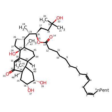 CCCCC/C=C\C/C=C\CCCCCCCC(=O)O[C@H](CCC(C)(C)O)[C@@H](C)[C@H]1CC[C@@]2(O)C3=CC(=O)[C@@H]4C[C@@H](O)[C@@H](O)C[C@]4(C)[C@H]3CC[C@]12C